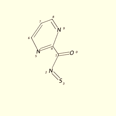 O=C(N=S)c1ncccn1